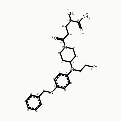 CC(C)CCN(c1ccc(OCc2ccccc2)cc1)C1CCN(C(=O)[CH]CC(C)C(N)=O)CC1